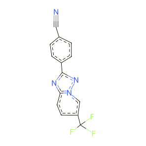 N#Cc1ccc(-c2nc3ccc(C(F)(F)F)cn3n2)cc1